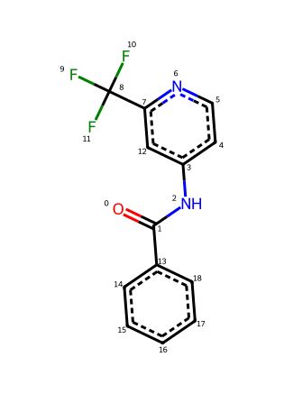 O=C(Nc1ccnc(C(F)(F)F)c1)c1ccccc1